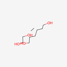 CC.OCCCCCCO.OCCO